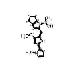 COC1=CC(c2cccn2C)=N/C1=C/c1cc2c(n1B(C)O)CCC2